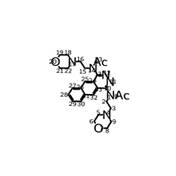 CC(=O)N(CCN1CCOCC1)c1nnc(N(CCN2CCOCC2)C(C)=O)c2cc3ccccc3cc12